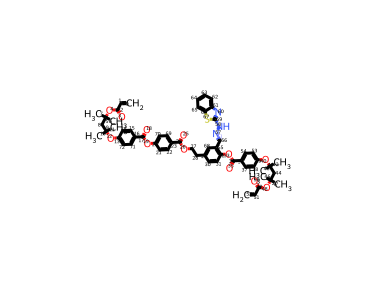 C=CC(=O)OC(C)(C)CC(C)(C)Oc1ccc(C(=O)Oc2ccc(C(=O)OCCc3ccc(OC(=O)c4ccc(OC(C)(C)CC(C)(C)OC(=O)C=C)cc4)c(/C=N/Nc4nc5ccccc5s4)c3)cc2)cc1